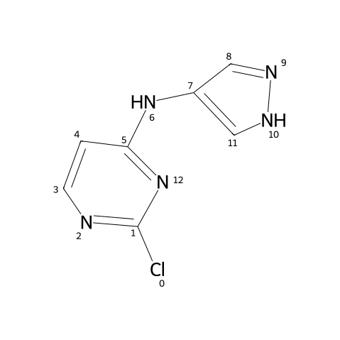 Clc1nccc(Nc2cn[nH]c2)n1